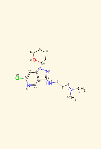 CN(C)CCCNc1nn(C2CCCCO2)c2cc(Cl)ncc12